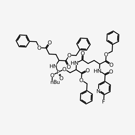 CCCCOP(=O)(NC(CCC(=O)OCc1ccccc1)C(=O)OCc1ccccc1)OCC(NC(=O)CCC(NC(=O)c1ccc(F)nc1)C(=O)OCc1ccccc1)C(=O)OCc1ccccc1